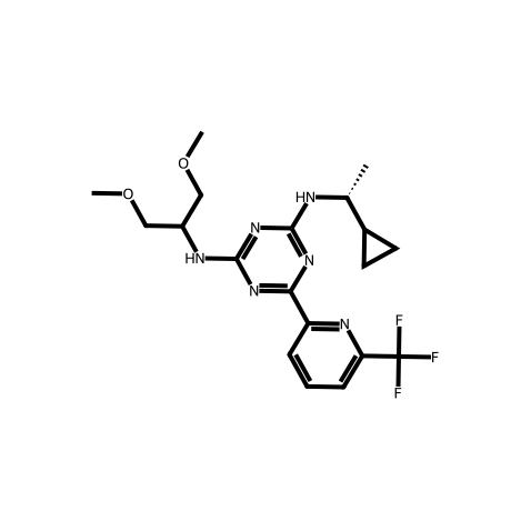 COCC(COC)Nc1nc(N[C@H](C)C2CC2)nc(-c2cccc(C(F)(F)F)n2)n1